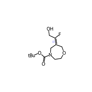 CC(C)(C)OC(=O)N1CCOC/C(=C(\F)CO)C1